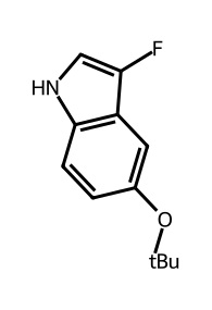 CC(C)(C)Oc1ccc2[nH]cc(F)c2c1